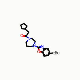 CC(C)(C)c1ccc2oc(N3CCCN(C(=O)CC4CCCC4)CC3)nc2c1